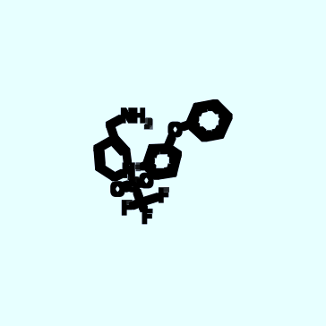 NCC1=C[N+](c2cccc(Oc3ccccc3)c2)(S(=O)(=O)C(F)(F)F)CC=C1